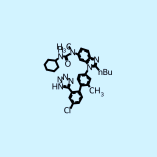 CCCCc1nc2ccc(N(C)C(=O)NC3CCCCC3)cc2n1-c1ccc(-c2ccc(Cl)cc2-c2nnn[nH]2)c(C)c1